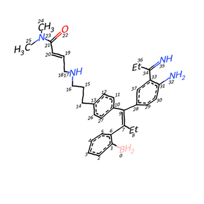 Bc1ccccc1/C(CC)=C(\c1ccc(CCCNC/C=C/C(=O)N(C)C)cc1)c1ccc(N)c(C(=N)CC)c1